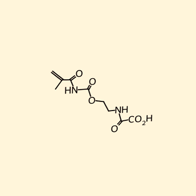 C=C(C)C(=O)NC(=O)OCCNC(=O)C(=O)O